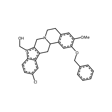 COc1cc2c(cc1OCc1ccccc1)C1Cc3c(n(CO)c4ccc(Cl)cc34)CN1CC2